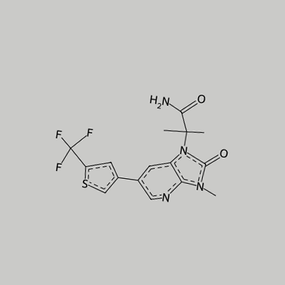 Cn1c(=O)n(C(C)(C)C(N)=O)c2cc(-c3csc(C(F)(F)F)c3)cnc21